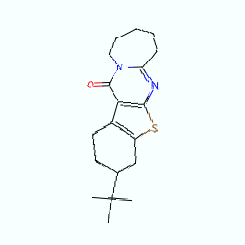 CC(C)(C)C1CCc2c(sc3nc4n(c(=O)c23)CCCCC4)C1